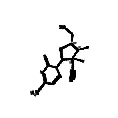 C[C@@H]1[C@@H](CO)OC(n2ccc(N)nc2=O)[C@]1(C)C#N